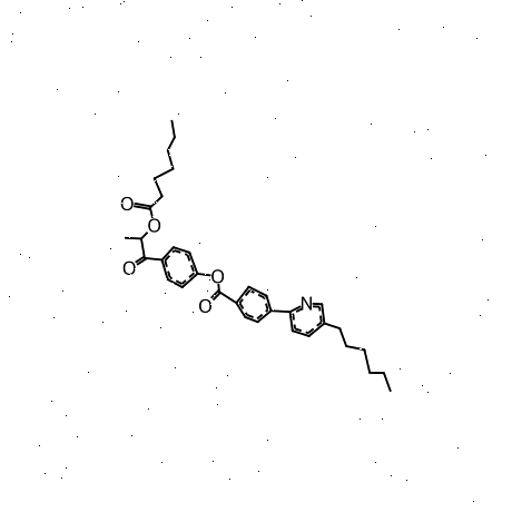 CCCCCCC(=O)OC(C)C(=O)c1ccc(OC(=O)c2ccc(-c3ccc(CCCCCC)cn3)cc2)cc1